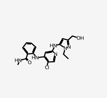 CCn1nc(CO)cc1Nc1cc(Nc2ccccc2C(=O)NC)c(Cl)cn1